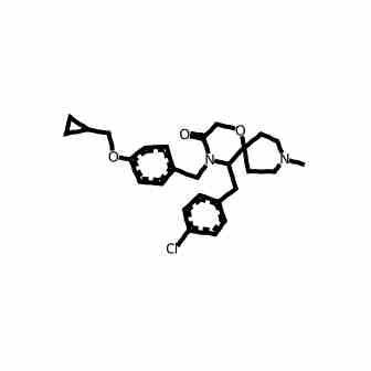 CN1CCC2(CC1)OCC(=O)N(Cc1ccc(OCC3CC3)cc1)C2Cc1ccc(Cl)cc1